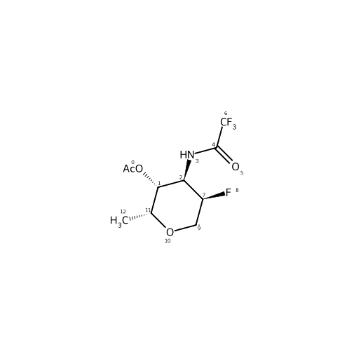 CC(=O)O[C@@H]1[C@@H](NC(=O)C(F)(F)F)[C@@H](F)[CH]O[C@@H]1C